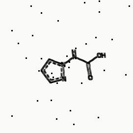 O=C(O)Nn1cccn1